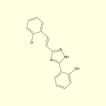 Oc1ccccc1-c1nc(/C=C/c2ccccc2Cl)n[nH]1